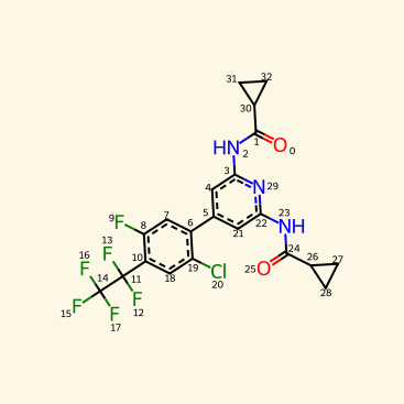 O=C(Nc1cc(-c2cc(F)c(C(F)(F)C(F)(F)F)cc2Cl)cc(NC(=O)C2CC2)n1)C1CC1